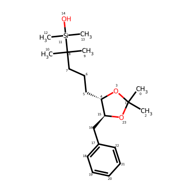 CC1(C)O[C@@H](CCCC(C)(C)[Si](C)(C)O)[C@H](Cc2ccccc2)O1